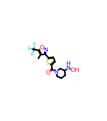 Cc1c(-c2ccc(C(=O)N3CCCC(NO)C3)s2)noc1C(F)(F)F